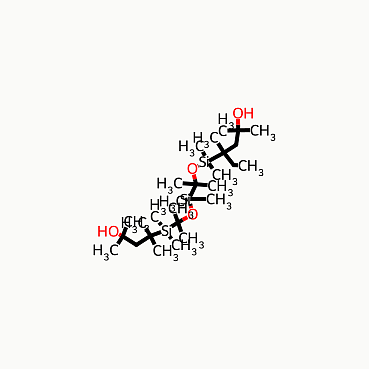 CCC(C)(CC(C)(C)O)[Si](C)(C)OC(C)(C)[Si](C)(C)OC(C)(C)[Si](C)(C)C(C)(C)CC(C)(C)O